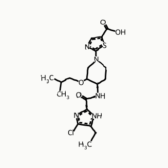 CCc1[nH]c(C(=O)NC2CCN(c3ncc(C(=O)O)s3)CC2OCC(C)C)nc1Cl